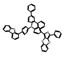 c1ccc(-c2ccc(N(c3ccc(-c4sc(-c5ccccc5)c5c4Oc4ccccc4O5)cc3)c3ccc(-c4cccc5c4sc4ccccc45)cc3)c(-c3ccccc3)c2)cc1